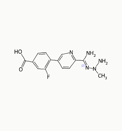 CN(N)/N=C(\N)c1ccc(-c2ccc(C(=O)O)cc2F)cn1